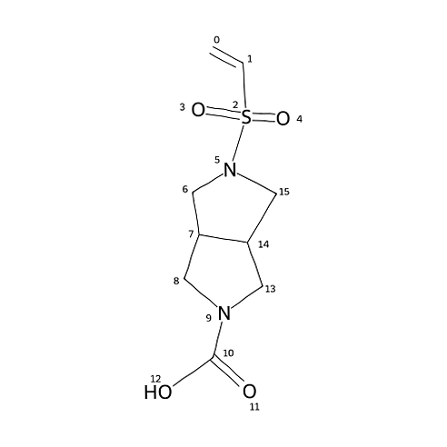 C=CS(=O)(=O)N1CC2CN(C(=O)O)CC2C1